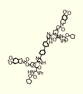 CC(C)C(NC(=O)OC1CCCC1)C(=O)N1C[C@H](OC(=O)N2Cc3cc4c(cc3C2)OCO4)C[C@H]1c1nc(-c2ccc(-c3ccc(-c4cnc([C@@H]5C[C@@H](OC(=O)N6Cc7cc8c(cc7C6)OCO8)CN5C(=O)[C@@H](NC(=O)OC5CCCC5)C(C)C)[nH]4)cc3)cc2)c[nH]1